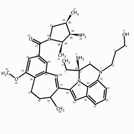 CC[C@]1([SiH3])CN(CCCO)c2cccc3cc(C4=Nc5cc(C(=O)N6C[C@@H](C)[C@@H](N)[C@H]6C)cc(OC)c5CCC4C)n1c23